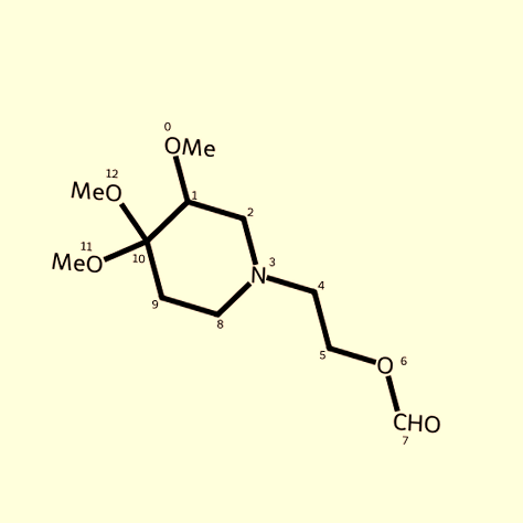 COC1CN(CCOC=O)CCC1(OC)OC